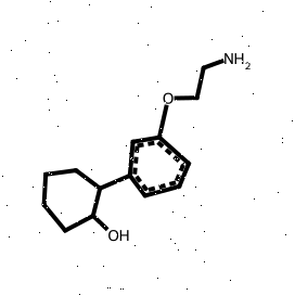 NCCOc1cccc(C2CCCCC2O)c1